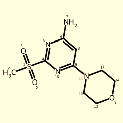 CS(=O)(=O)c1nc(N)cc(N2CCOCC2)n1